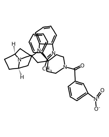 Cc1nc2ccccc2n1C1C[C@H]2CC[C@@H](C1)N2CCC1(c2ccccc2)CCN(C(=O)c2cccc([N+](=O)[O-])c2)CC1